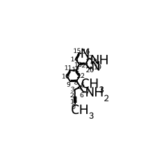 CC#CC[C@](C)(CN)c1cccc(-c2ccnc3[nH]ncc23)c1